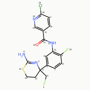 NC1=NC(CF)(c2ccc(F)c(NC(=O)c3ccc(Cl)nc3)c2)CCS1